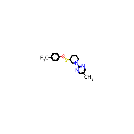 Cc1cnc(N2CCCC(SOc3ccc(C(F)(F)F)cc3)C2)nc1